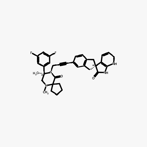 CN1C[C@@](C)(c2cc(F)cc(F)c2)N(CC#Cc2ccc3c(c2)C[C@@]2(C3)C(=O)NC3=C2C=CCN3)C(=O)C12CCCC2